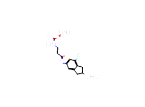 CC(C)(C)OC(=O)NCCc1nc2cc3c(c(F)c2o1)CC(C=O)C3